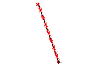 C=C(C)C(=O)OCCOCCOCCOCCOCCOCCOCCOCCOCCOCCOCCOCCOCCOCCOCCOCCOCCOCCOCCOCCOCCOCCOCCOCCOCCOCC